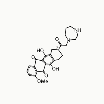 COc1cccc2c1C(=O)c1c(O)c3c(c(O)c1C2=O)C[C@@H](C(=O)CN1CCCNCC1)CC3